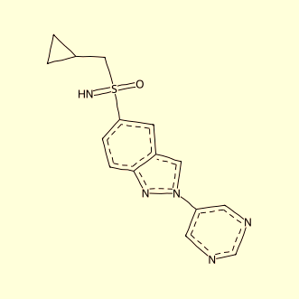 N=S(=O)(CC1CC1)c1ccc2nn(-c3cncnc3)cc2c1